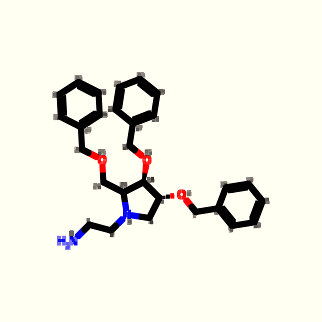 NCCN1C[C@@H](OCc2ccccc2)[C@H](OCc2ccccc2)C1COCc1ccccc1